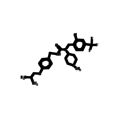 CC(C)COc1ccc(CNC(=O)N(Cc2ccc(C(F)(F)F)cc2Cl)C2CCN(C)CC2)cc1